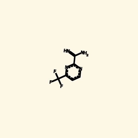 N=C(N)c1nccc(C(F)(F)F)n1